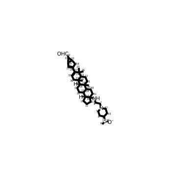 C[S+]([O-])C1CCN(CCNC23CCC[C@@H]2C2CC[C@H]4C(C)(CCC5C(C)(C)C(C6=CC7C(C=O)C7C6)=CCC54C)C2CC3)CC1